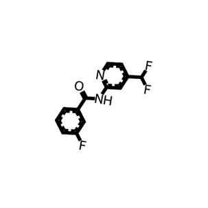 O=C(Nc1cc(C(F)F)ccn1)c1cccc(F)c1